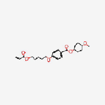 C=CC(=O)OCCCCCOc1ccc(C(=O)OC2CCC(OC)CC2)cc1